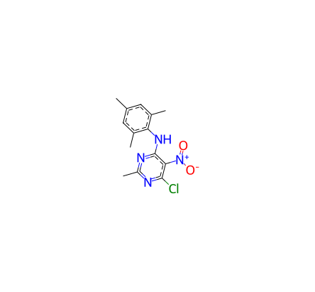 Cc1cc(C)c(Nc2nc(C)nc(Cl)c2[N+](=O)[O-])c(C)c1